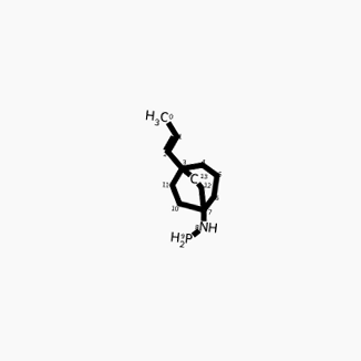 CC=CC12CCCC(NP)(CC1)CC2